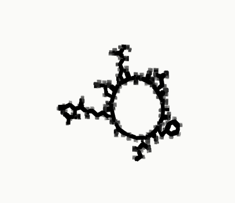 C#CCC(NC(C)=O)C(=O)NCCCC[C@@H]1NC(=O)CSC[C@@H](C(=O)NCC)NC(=O)[C@H](Cc2ccccc2)NC(=O)[C@H](C)NC(=O)[C@H](CC(=O)O)NC(=O)CNC(=O)[C@H](CCCNC(=N)N)NC(=O)[C@H](CSS)NC1=O